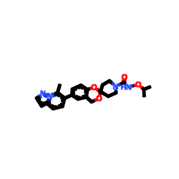 Cc1c(-c2ccc3c(c2)COC2(CCN(C(=O)NOC(C)C)CC2)O3)ccc2ccnn12